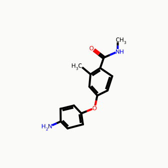 CNC(=O)c1ccc(Oc2ccc(N)cc2)cc1C